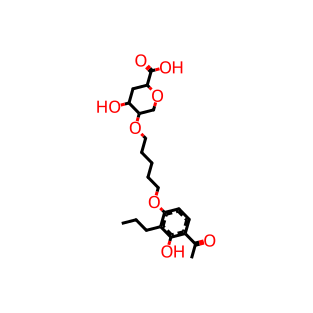 CCCc1c(OCCCCCOC2COC(C(=O)O)CC2O)ccc(C(C)=O)c1O